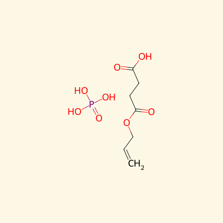 C=CCOC(=O)CCC(=O)O.O=P(O)(O)O